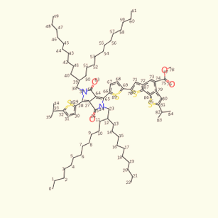 CCCCCCCCCCCCC(CCCCCCCCCC)CN1C(=O)C2=C(c3ccc(C(C)C)s3)N(CC(CCCCCCCCCC)CCCCCCCCCCCC)C(=O)C2=C1c1ccc(-c2cc3cc(C(=O)OC)c4cc(C(C)C)sc4c3s2)s1